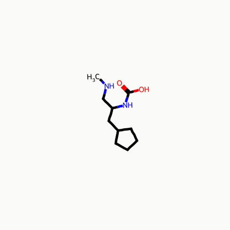 CNCC(CC1CCCC1)NC(=O)O